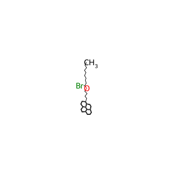 CCCCCCCCCC(Br)OCCCCc1ccc2ccc3cccc4ccc1c2c34